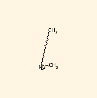 CCCCCCCCCCCCCCCCc1nccn1CCC